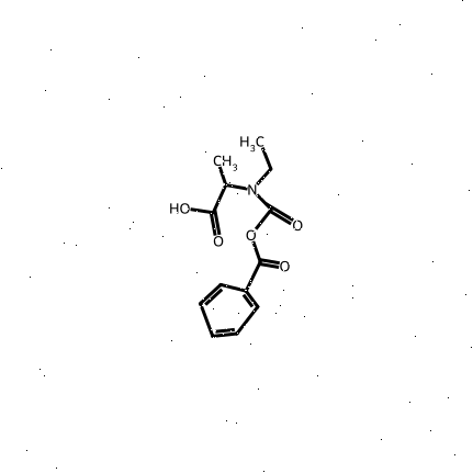 CCN(C(=O)OC(=O)c1ccccc1)C(C)C(=O)O